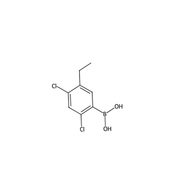 CCc1cc(B(O)O)c(Cl)cc1Cl